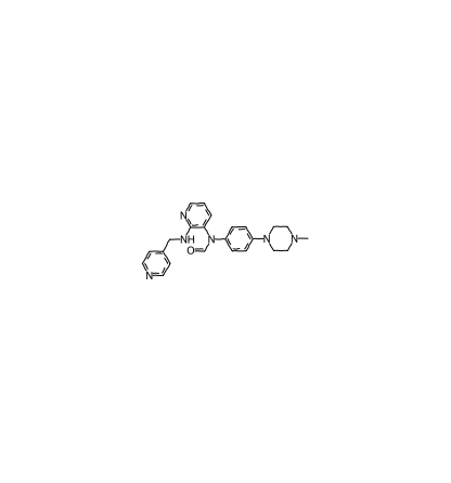 CN1CCN(c2ccc(N(C=O)c3cccnc3NCc3ccncc3)cc2)CC1